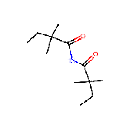 CCC(C)(C)C(=O)NC(=O)C(C)(C)CC